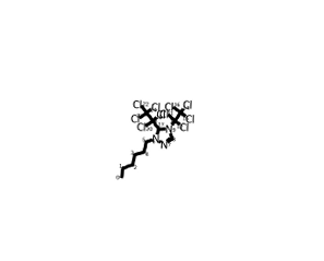 CCCCCCN1N=CN(C(Cl)(Cl)C(Cl)(Cl)Cl)C1C(Cl)(Cl)C(Cl)(Cl)Cl